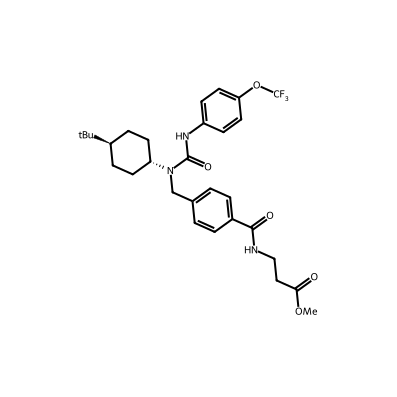 COC(=O)CCNC(=O)c1ccc(CN(C(=O)Nc2ccc(OC(F)(F)F)cc2)[C@H]2CC[C@H](C(C)(C)C)CC2)cc1